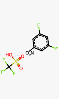 O=S(=O)(O)C(F)(F)F.O=[N+]([O-])c1cc(F)cc(F)c1